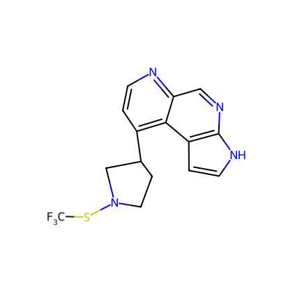 FC(F)(F)SN1CCC(c2ccnc3cnc4[nH]ccc4c23)C1